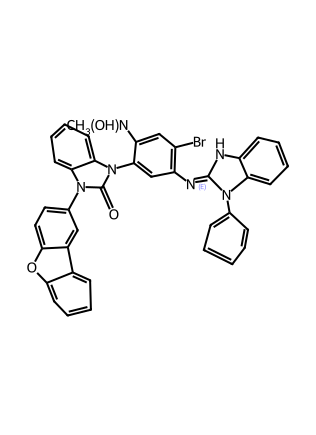 CN(O)c1cc(Br)c(/N=c2\[nH]c3ccccc3n2-c2ccccc2)cc1-n1c(=O)n(-c2ccc3oc4ccccc4c3c2)c2ccccc21